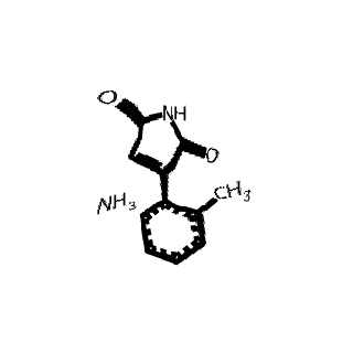 Cc1ccccc1C1=CC(=O)NC1=O.N